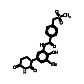 CC(C)(C)c1cc(N2CCC(=O)NC2=O)cc(NC(=O)c2ccc(CS(C)(=O)=O)cc2)c1O